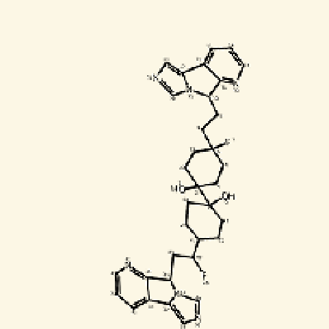 OC1(C2(O)CCC(F)(CCC3c4ncccc4-c4cncn43)CC2)CCC(C(F)CC2c3ncccc3-c3cncn32)CC1